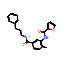 Cc1ccc(C(=O)NCCCc2ccccc2)cc1NC(=O)c1ccco1